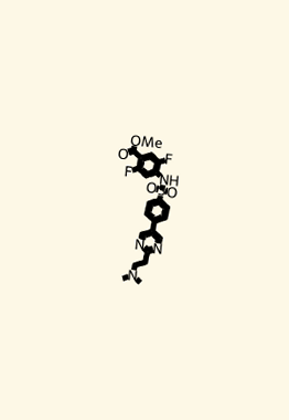 COC(=O)c1cc(F)c(NS(=O)(=O)c2ccc(-c3cnc(CCN(C)C)nc3)cc2)cc1F